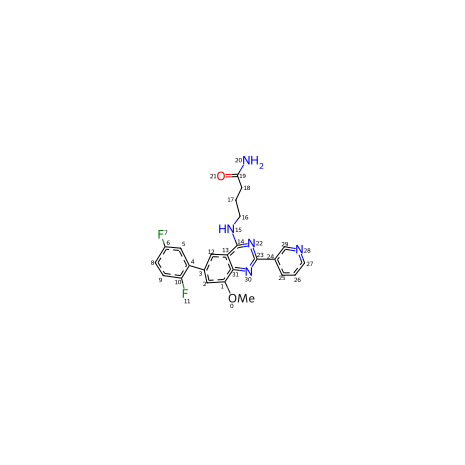 COc1cc(-c2cc(F)ccc2F)cc2c(NCCCC(N)=O)nc(-c3cccnc3)nc12